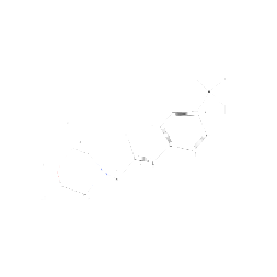 CCC(C)(C)c1ccc(/C=C(\C)CN2C[C@@H](C)O[C@@H](C)C2)cc1